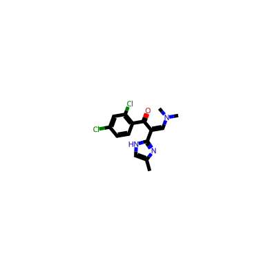 Cc1c[nH]c(/C(=C/N(C)C)C(=O)c2ccc(Cl)cc2Cl)n1